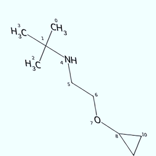 CC(C)(C)NCCOC1CC1